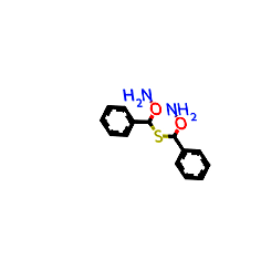 NOC(SC(ON)c1ccccc1)c1ccccc1